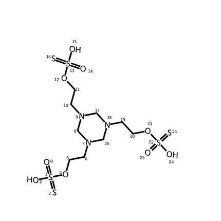 O=S(O)(=S)OCCN1CN(CCOS(=O)(O)=S)CN(CCOS(=O)(O)=S)C1